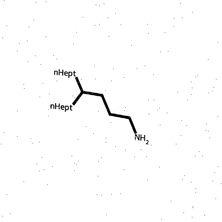 CCCCCCCC(CCCN)CCCCCCC